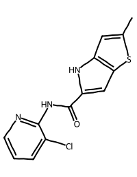 Cc1cc2[nH]c(C(=O)Nc3ncccc3Cl)cc2s1